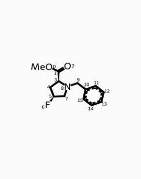 COC(=O)[C@@H]1C[C@H](F)CN1Cc1ccccc1